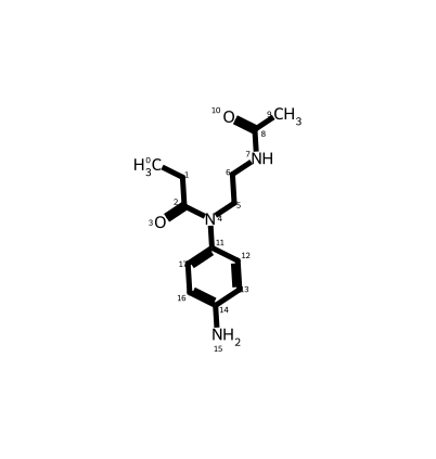 CCC(=O)N(CCNC(C)=O)c1ccc(N)cc1